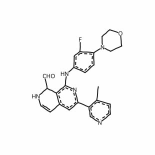 Cc1ccncc1-c1cc2c(c(Nc3ccc(N4CCOCC4)c(F)c3)n1)C(C=O)NC=C2